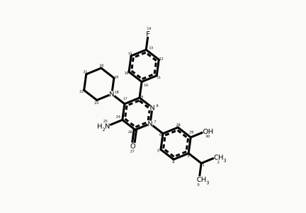 CC(C)c1ccc(-n2nc(-c3ccc(F)cc3)c(N3CCCCC3)c(N)c2=O)cc1O